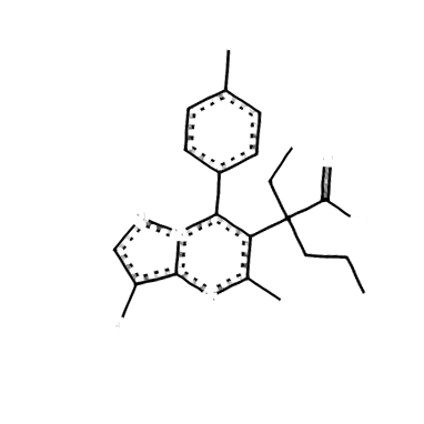 CCCC(CC)(C(=O)O)c1c(C)nc2c(Br)cnn2c1-c1ccc(C)cc1